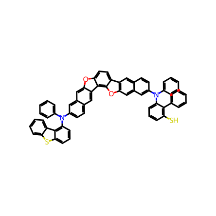 Sc1cccc(N(c2ccccc2)c2ccc3cc4c(cc3c2)oc2c4ccc3oc4cc5cc(N(c6ccccc6)c6cccc7sc8ccccc8c67)ccc5cc4c32)c1-c1ccccc1